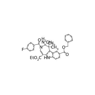 CCOC(=O)C1=CN(C(=O)c2ccc(F)cc2)C(C)(N)C(C)(C)c2c1[nH]c1ccc(C(=O)OCc3ccccc3)cc21